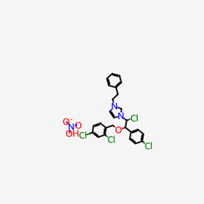 Clc1ccc(C(OCc2ccc(Cl)cc2Cl)C(Cl)N2C=CN(CCc3ccccc3)C2)cc1.O=[N+]([O-])O